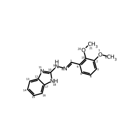 COc1cccc(/C=N/Nc2nc3ccccc3[nH]2)c1OC